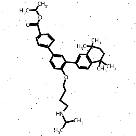 CC(C)NCCCCOc1ccc(-c2ccc(C(=O)OC(C)C)cc2)cc1-c1ccc2c(c1)C(C)(C)CCC2(C)C